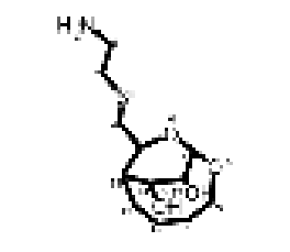 NCCSCC1OC2OCCCCC1C(O)C2O